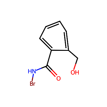 O=C(NBr)c1ccccc1CO